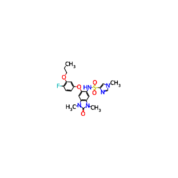 CCCOc1cc(Oc2cc3c(cc2NS(=O)(=O)c2cn(C)cn2)n(C)c(=O)n3C)ccc1F